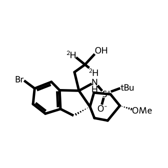 [2H]C([2H])(O)CC1(N[S+]([O-])C(C)(C)C)c2cc(Br)ccc2C[C@]12CC[C@@H](OC)CC2